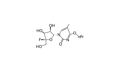 CCCOc1nc(=O)n([C@@H]2O[C@](F)(CO)[C@@H](O)[C@H]2O)cc1C